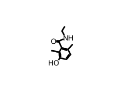 CCNC(=O)c1c(C)ccc(O)c1C